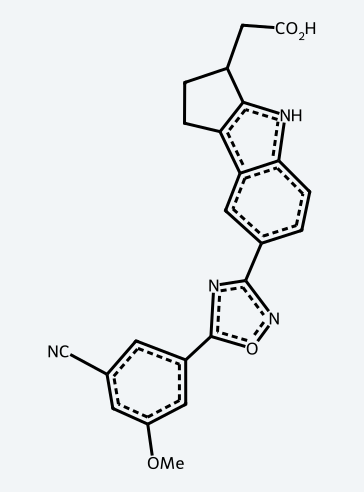 COc1cc(C#N)cc(-c2nc(-c3ccc4[nH]c5c(c4c3)CCC5CC(=O)O)no2)c1